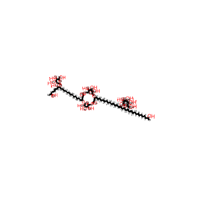 CC(O)CCCCCCCCCCCCCCCC(CCCCCCCCCCCCCCC1CC(=O)OCC2OC(OC(CCCCCCCCCCCCCC(CCCCCC(C)O)OC3OC(CO)C(O)C(O)C3O)CC(=O)OCC3OC(O1)C(O)C(O)C3O)C(O)C(O)C2O)OC1OC(CO)C(O)C(O)C1O